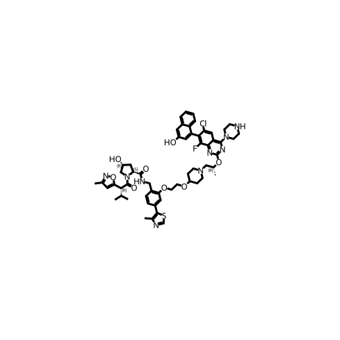 Cc1cc([C@H](C(=O)N2C[C@H](O)C[C@H]2C(=O)NCc2ccc(-c3scnc3C)cc2OCCOC2CCN(C[C@@H](C)Oc3nc(N4CCNCC4)c4cc(Cl)c(-c5cc(O)cc6ccccc56)c(F)c4n3)CC2)C(C)C)on1